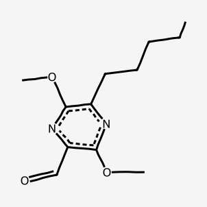 CCCCCc1nc(OC)c(C=O)nc1OC